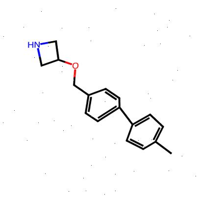 Cc1ccc(-c2ccc(COC3CNC3)cc2)cc1